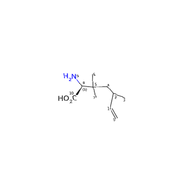 C=CC(C)CC(C)(C)[C@H](N)C(=O)O